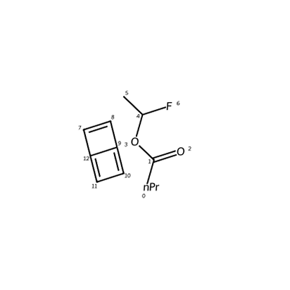 CCCC(=O)OC(C)F.c1cc2ccc1-2